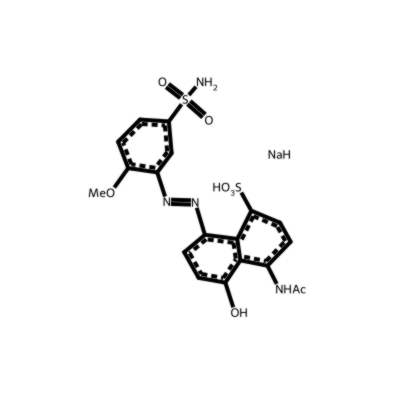 COc1ccc(S(N)(=O)=O)cc1N=Nc1ccc(O)c2c(NC(C)=O)ccc(S(=O)(=O)O)c12.[NaH]